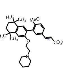 COc1ccc(/C=C/C(=O)O)cc1-c1cc2c(cc1OCCN1CCCCC1)C(C)(C)CCC2(C)C